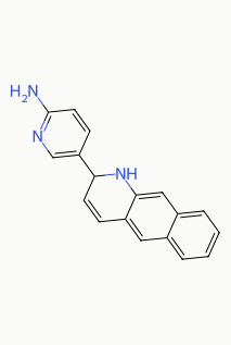 Nc1ccc(C2C=Cc3cc4ccccc4cc3N2)cn1